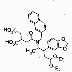 CCOC(CC(c1ccc2c(c1)OCO2)C(C)N(Cc1ccc2ccccc2c1)C(=O)CC(CC(=O)O)C(=O)O)OCC